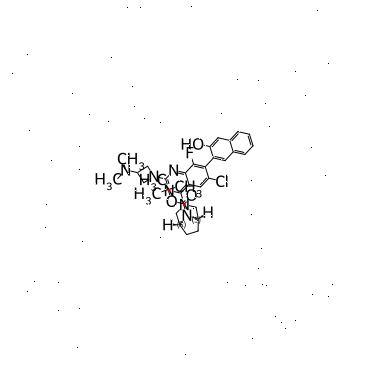 CN(C)C1CN(c2nc(N3C[C@H]4CC[C@@H](C3)N4C(=O)OC(C)(C)C)c3cc(Cl)c(-c4cc5ccccc5cc4O)c(F)c3n2)C1